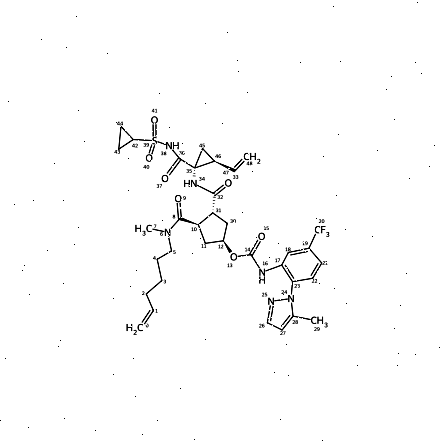 C=CCCCCN(C)C(=O)[C@@H]1C[C@H](OC(=O)Nc2cc(C(F)(F)F)ccc2-n2nccc2C)C[C@H]1C(=O)N[C@]1(C(=O)NS(=O)(=O)C2CC2)C[C@H]1C=C